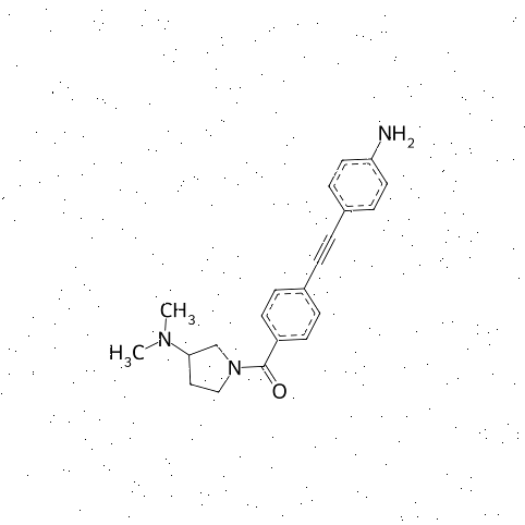 CN(C)C1CCN(C(=O)c2ccc(C#Cc3ccc(N)cc3)cc2)C1